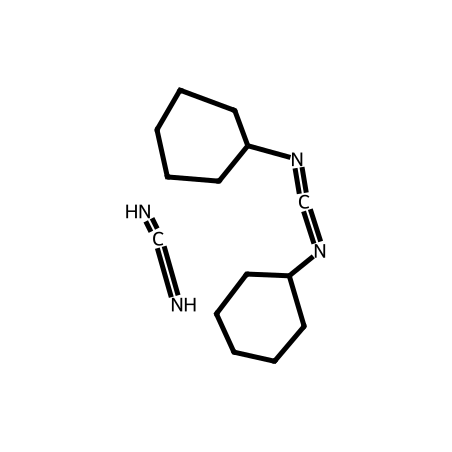 C(=NC1CCCCC1)=NC1CCCCC1.N=C=N